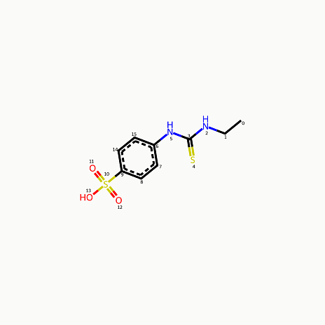 CCNC(=S)Nc1ccc(S(=O)(=O)O)cc1